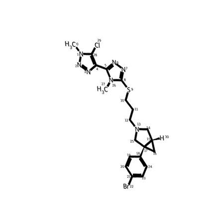 Cn1nnc(-c2nnc(SCCCN3C[C@@H]4C[C@]4(c4ccc(Br)cc4)C3)n2C)c1Cl